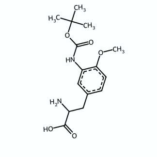 COc1ccc(CC(N)C(=O)O)cc1NC(=O)OC(C)(C)C